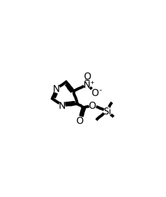 C[Si](C)(C)OC(=O)c1ncncc1[N+](=O)[O-]